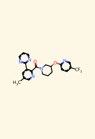 Cc1cnc(C(=O)N2CCCC(Oc3ccc(C(F)(F)F)cn3)C2)c(-c2ncccn2)c1